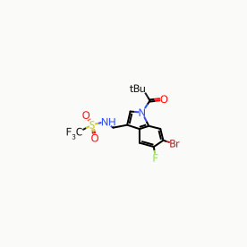 CC(C)(C)C(=O)n1cc(CNS(=O)(=O)C(F)(F)F)c2cc(F)c(Br)cc21